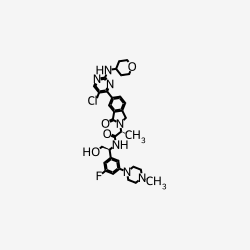 C[C@H](C(=O)N[C@H](CO)c1cc(F)cc(N2CCN(C)CC2)c1)N1Cc2ccc(-c3nc(NC4CCOCC4)ncc3Cl)cc2C1=O